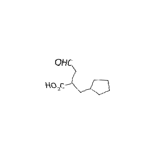 O=CCC(CC1CCCC1)C(=O)O